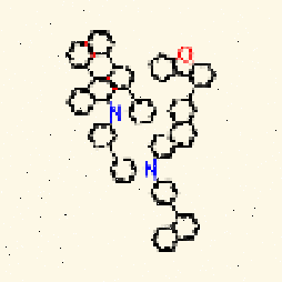 c1ccc(-c2ccc(-c3ccccc3N(c3cccc(-c4cccc(N(c5ccc(-c6cccc7ccccc67)cc5)c5ccc6c(ccc7cc(-c8cccc9oc%10ccccc%10c89)ccc76)c5)c4)c3)c3ccc(-c4ccccc4)c4ccccc34)cc2)cc1